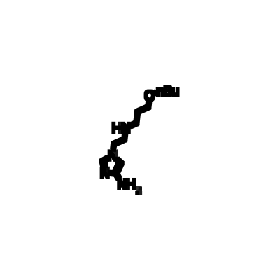 CCCCOCCCNCCn1cnc(N)c1